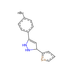 CCCCc1ccc(C2=CC(c3cccs3)NN2)cc1